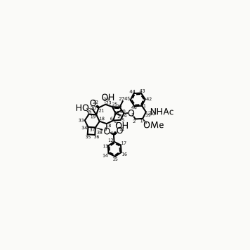 CO[C@@H](CO[C@H]1C[C@@]2(O)[C@@H](OC(=O)c3ccccc3)C3C(C)(C(=O)[C@H](O)C(=C1C)C2(C)C)[C@@H](O)CC1CC[C@]13C)[C@@H](NC(C)=O)c1ccccc1